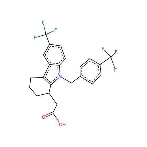 O=C(O)CC1CCCc2c1n(Cc1ccc(C(F)(F)F)cc1)c1ccc(C(F)(F)F)cc21